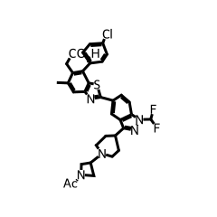 CC(=O)N1CC(N2CCC(c3nn(C(F)F)c4ccc(-c5nc6cc(C)c(CC(=O)O)c(-c7ccc(Cl)cc7)c6s5)cc34)CC2)C1